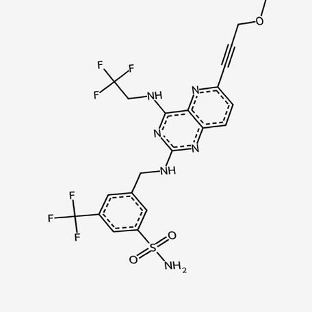 COCC#Cc1ccc2nc(NCc3cc(C(F)(F)F)cc(S(N)(=O)=O)c3)nc(NCC(F)(F)F)c2n1